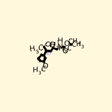 COc1cccc(/C(=C/C(=O)CNC(=O)OC(C)(C)C)C(C)C)c1